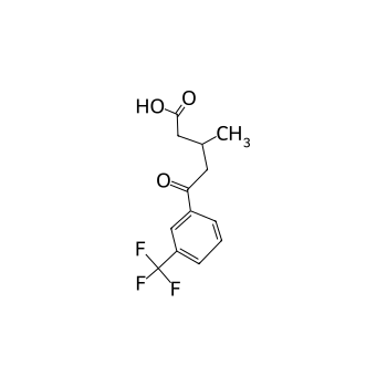 CC(CC(=O)O)CC(=O)c1cccc(C(F)(F)F)c1